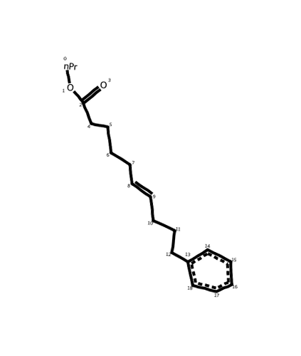 CCCOC(=O)CCCC/C=C/CCCc1ccccc1